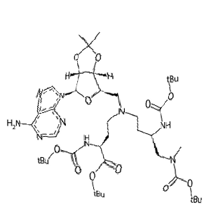 CN(C[C@@H](CCN(CC[C@H](NC(=O)OC(C)(C)C)C(=O)OC(C)(C)C)C[C@H]1O[C@@H](n2cnc3c(N)ncnc32)[C@@H]2OC(C)(C)O[C@@H]21)NC(=O)OC(C)(C)C)C(=O)OC(C)(C)C